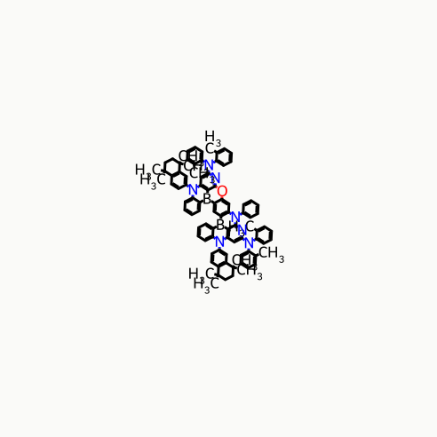 Cc1ccccc1N(c1cc2c3c(n1)Oc1cc4c(cc1B3c1ccccc1N2c1ccc2c(c1)C(C)(C)CCC2(C)C)B1c2ccccc2N(c2ccc3c(c2)C(C)(C)CCC3(C)C)c2cc(N(c3ccccc3C)c3ccccc3C)nc(c21)N4c1ccccc1)c1ccccc1C